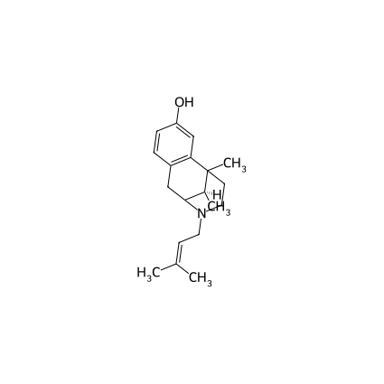 CC(C)=CCN1CCC2(C)c3cc(O)ccc3CC1[C@@H]2C